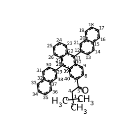 CC(C)(C)CC(=O)c1ccc2c(-c3ccc4ccccc4c3)c3ccccc3c(-c3ccc4ccccc4c3)c2c1